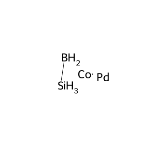 B[SiH3].[Co].[Pd]